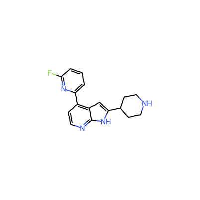 Fc1cccc(-c2ccnc3[nH]c(C4CCNCC4)cc23)n1